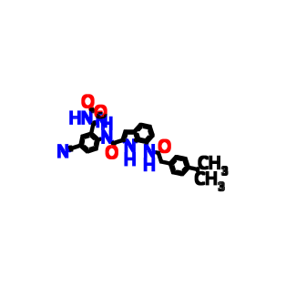 CC(C)c1ccc(CC(=O)Nc2cccc3cc(C(=O)Nc4ccc(C#N)cc4-c4noc(=O)[nH]4)[nH]c23)cc1